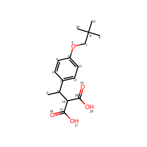 CC(c1ccc(OCC(C)(C)C)cc1)C(C(=O)O)C(=O)O